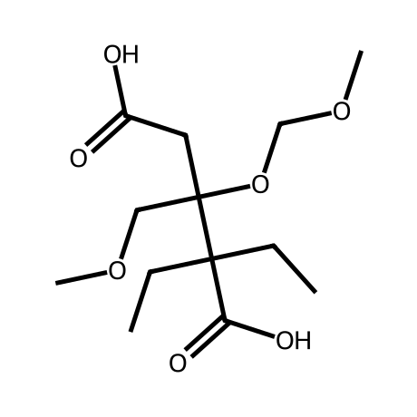 CCC(CC)(C(=O)O)C(COC)(CC(=O)O)OCOC